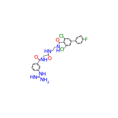 N=C(N)Nc1cccc(C(=O)NCC(=O)NCCNC(=O)c2c(Cl)cc(-c3ccc(F)cc3)cc2Cl)c1